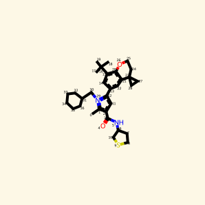 Cc1c(C(=O)NC2CCSC2)cc(-c2cc(C(C)(C)C)c3c(c2)C2(CCO3)CC2)n1CC1CCCCC1